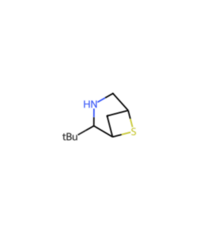 CC(C)(C)C1NCC2CC1S2